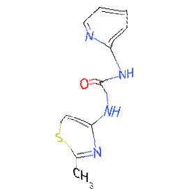 Cc1nc(NC(=O)Nc2ccccn2)cs1